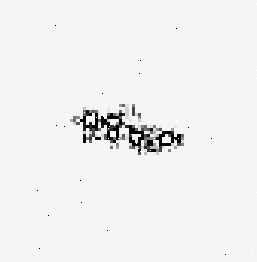 Cc1cc(-n2ncc(=O)[nH]c2=O)c2c(c1Oc1ccc(O)c(S(=O)(=O)c3ccc(F)cc3)c1)CCC2